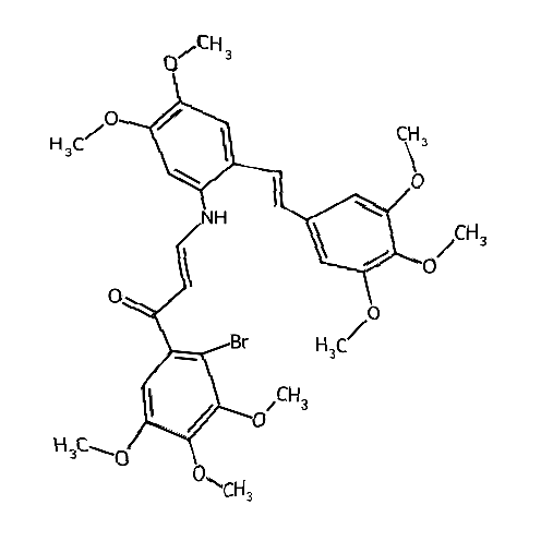 COc1cc(C=Cc2cc(OC)c(OC)c(OC)c2)c(NC=CC(=O)c2cc(OC)c(OC)c(OC)c2Br)cc1OC